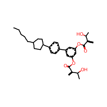 C=C(C(=O)Oc1cc(OC(=O)C(=C)C(C)O)cc(-c2ccc(C3CCC(CCCCC)CC3)cc2)c1)C(C)O